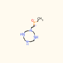 CC/[P+]([O-])=C/CN1CCNCCNCCNCC1